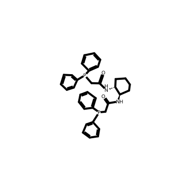 O=C(CP(c1ccccc1)c1ccccc1)N[C@@H]1CCCC[C@H]1NC(=O)CP(c1ccccc1)c1ccccc1